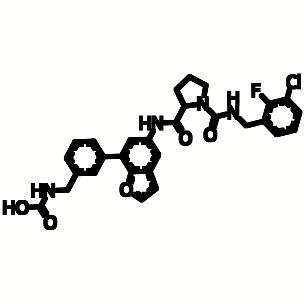 O=C(O)NCc1cccc(-c2cc(NC(=O)C3CCCN3C(=O)NCc3cccc(Cl)c3F)cc3ccoc23)c1